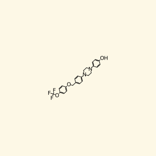 Oc1ccc(N2CCN(c3ccc(COc4ccc(OC(F)(F)F)cc4)cc3)CC2)cc1